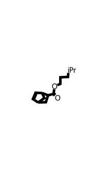 CC(C)CCCOC(=O)C1CC2C=CC1C2